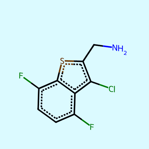 NCc1sc2c(F)ccc(F)c2c1Cl